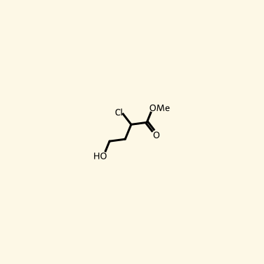 COC(=O)C(Cl)CCO